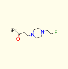 CC(C)C(=O)CCN1CCN(CCF)CC1